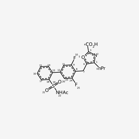 CCCc1nc(C(=O)O)oc1Cc1c(F)cc(-c2ccccc2S(=O)(=O)NC(C)=O)cc1F